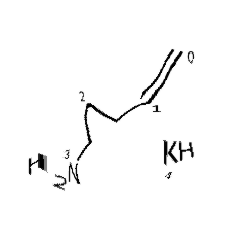 C=CCN.[KH]